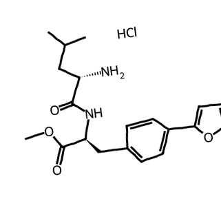 COC(=O)[C@H](Cc1ccc(-c2ccco2)cc1)NC(=O)[C@@H](N)CC(C)C.Cl